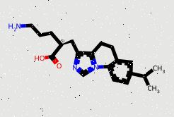 CC(C)c1ccc2c(c1)CCc1c(C[C@H](CCCN)C(=O)O)ncn1-2